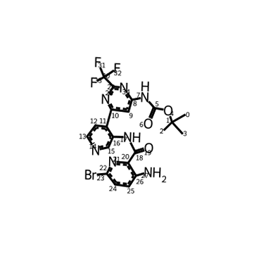 CC(C)(C)OC(=O)Nc1cc(-c2ccncc2NC(=O)c2nc(Br)ccc2N)nc(C(F)(F)F)n1